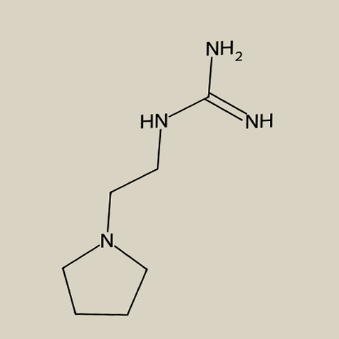 N=C(N)NCCN1CCCC1